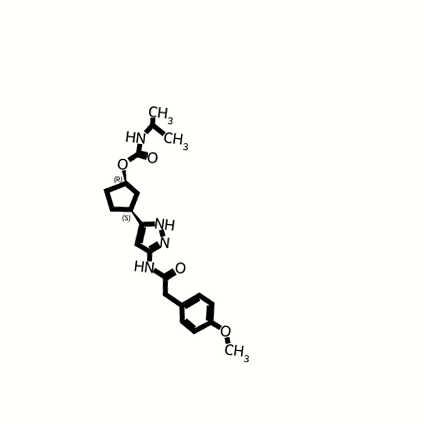 COc1ccc(CC(=O)Nc2cc([C@H]3CC[C@@H](OC(=O)NC(C)C)C3)[nH]n2)cc1